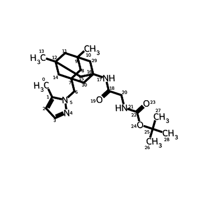 Cc1ccnn1CC12CC3(C)CC(C)(C1)CC(NC(=O)CNC(=O)OC(C)(C)C)(C3)C2